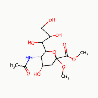 COC(=O)C1(OC)CC(O)C(NC(C)=O)C(C(O)C(O)CO)O1